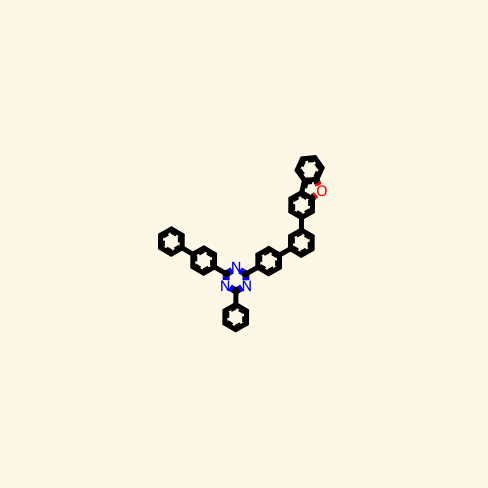 c1ccc(-c2ccc(-c3nc(-c4ccccc4)nc(-c4ccc(-c5cccc(-c6ccc7c(c6)oc6ccccc67)c5)cc4)n3)cc2)cc1